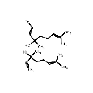 C=CC(C)(O)CCC=C(C)C.CCC=CC(C)(O)CCC=C(C)C